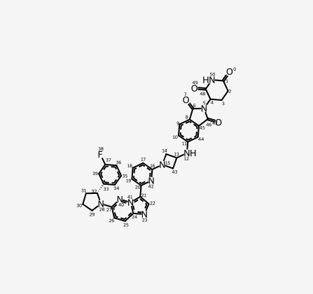 O=C1CCC(N2C(=O)c3ccc(NC4CN(c5cccc(-c6cnc7ccc(N8CCC[C@@H]8c8cccc(F)c8)nn67)n5)C4)cc3C2=O)C(=O)N1